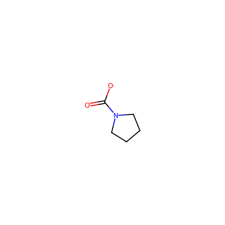 [O]C(=O)N1CCCC1